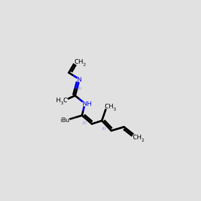 C=C/C=C(C)/C=C(\N/C(C)=N/C=C)C(C)CC